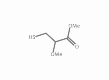 COC(=O)C(CS)OC